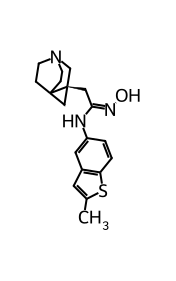 Cc1cc2cc(N/C(C[C@]34CN5CCC3(CC5)C4)=N/O)ccc2s1